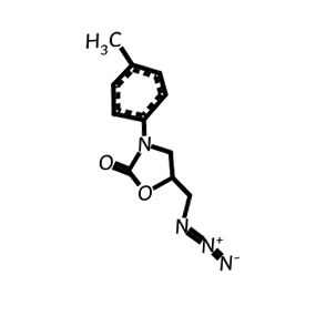 Cc1ccc(N2CC(CN=[N+]=[N-])OC2=O)cc1